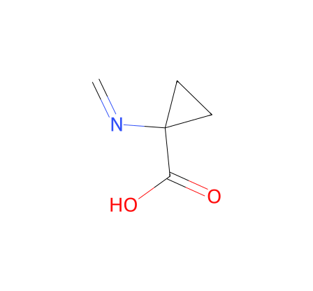 C=NC1(C(=O)O)CC1